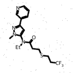 CCN(C(=O)CCSCCC(F)(F)F)c1cc(-c2cccnc2)nn1C